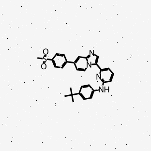 CC(C)(C)c1ccc(Nc2cccc(-c3cnc4cc(-c5ccc(S(C)(=O)=O)cc5)ccn34)n2)cc1